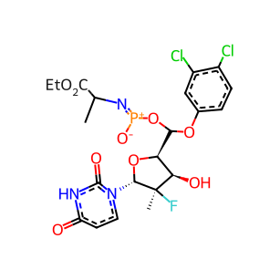 CCOC(=O)C(C)/N=[P+](\[O-])OC(Oc1ccc(Cl)c(Cl)c1)[C@@H]1O[C@@H](n2ccc(=O)[nH]c2=O)[C@](C)(F)[C@@H]1O